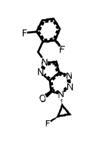 O=c1c2nn(Cc3c(F)cccc3F)cc2nnn1[C@@H]1C[C@H]1F